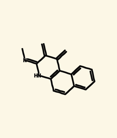 C=c1c(=C)c2c(ccc3ccccc32)[nH]/c1=N/C